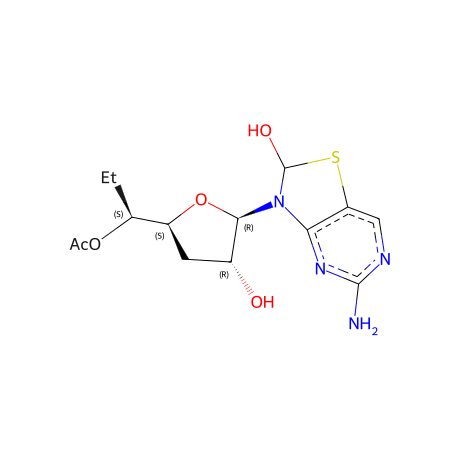 CC[C@H](OC(C)=O)[C@@H]1C[C@@H](O)[C@H](N2c3nc(N)ncc3SC2O)O1